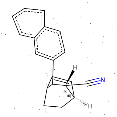 N#C[C@H]1C(c2ccc3ccccc3c2)C2C=C[C@H]1CC2